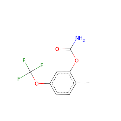 Cc1ccc(OC(F)(F)F)cc1OC(N)=O